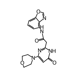 O=C(Cc1nc(N2CCOCC2)cc(=O)[nH]1)Nc1cccc2ocnc12